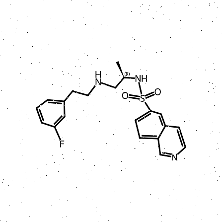 C[C@H](CNCCc1cccc(F)c1)NS(=O)(=O)c1ccc2cnccc2c1